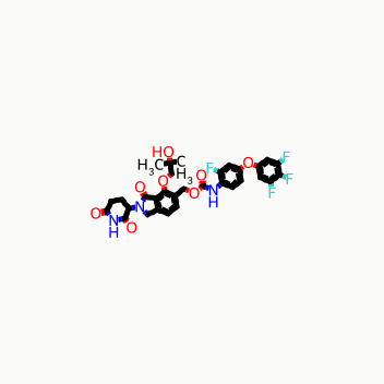 CC(C)(O)COc1c(COC(=O)Nc2ccc(Oc3cc(F)c(F)c(F)c3)cc2F)ccc2c1C(=O)N(C1CCC(=O)NC1=O)C2